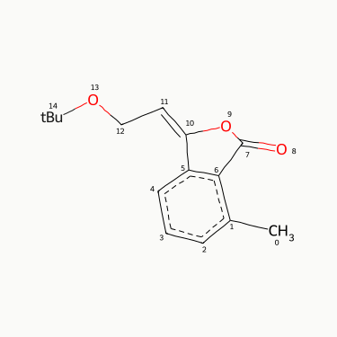 Cc1cccc2c1C(=O)O/C2=C/COC(C)(C)C